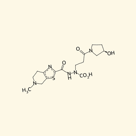 CN1CCc2nc(C(=O)NN(CCC(=O)N3CC[C@@H](O)C3)C(=O)O)sc2C1